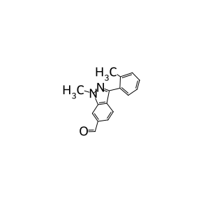 Cc1ccccc1-c1nn(C)c2cc(C=O)ccc12